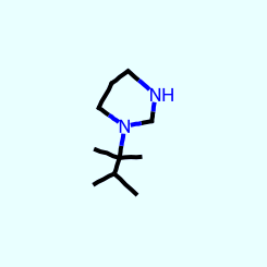 CC(C)C(C)(C)N1CCCNC1